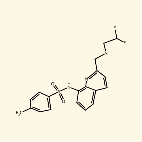 O=S(=O)(Nc1cccc2ccc(CNCC(F)F)nc12)c1ccc(C(F)(F)F)cc1